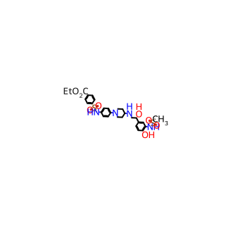 CCOC(=O)c1ccc(S(=O)(=O)Nc2ccc(N3CCC(NC[C@H](O)c4ccc(O)c(NS(C)(=O)=O)c4)CC3)cc2)cc1